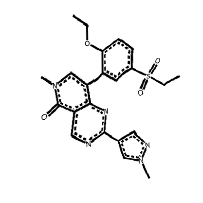 CCOc1ccc(S(=O)(=O)CC)cc1-c1cn(C)c(=O)c2cnc(-c3cnn(C)c3)nc12